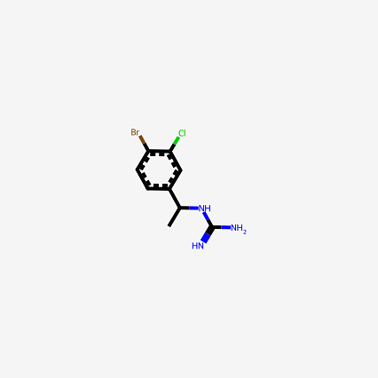 CC(NC(=N)N)c1ccc(Br)c(Cl)c1